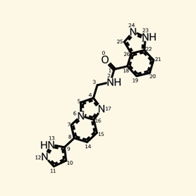 O=C(NCc1cn2cc(-c3ccn[nH]3)ccc2n1)c1cccc2[nH]ncc12